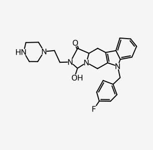 O=C1C2Cc3c(n(Cc4ccc(F)cc4)c4ccccc34)CN2C(O)N1CCN1CCNCC1